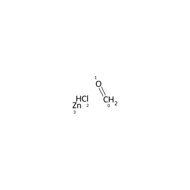 C=O.Cl.[Zn]